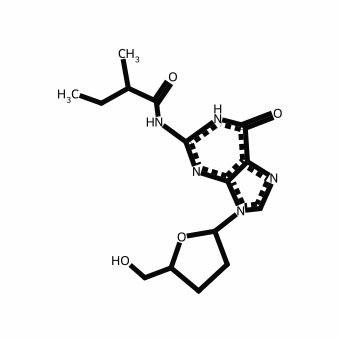 CCC(C)C(=O)Nc1nc2c(ncn2C2CCC(CO)O2)c(=O)[nH]1